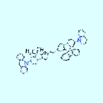 CC1(C)c2cc(/C=C/c3ccc4c(c3)C3(c5ccccc5-c5ccccc53)C3C=C(N5CCCC6=C5CCC=C6)C=CC43)ccc2-c2ccc(N3c4ccccc4Cc4ccccc43)cc21